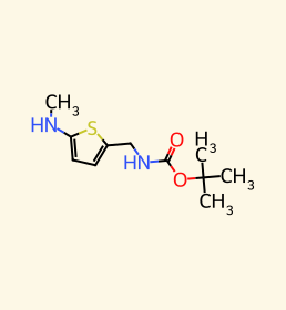 CNc1ccc(CNC(=O)OC(C)(C)C)s1